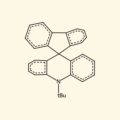 CC(C)(C)N1c2ccccc2C2(c3ccccc3-c3ccccc32)c2ccccc21